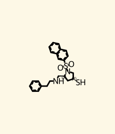 O=S(=O)(c1ccc2ccccc2c1)N1C[C@H](S)C[C@H]1CNCCc1ccccc1